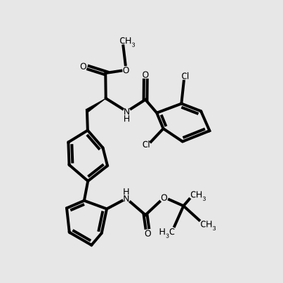 COC(=O)[C@H](Cc1ccc(-c2ccccc2NC(=O)OC(C)(C)C)cc1)NC(=O)c1c(Cl)cccc1Cl